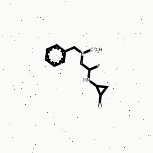 O=C(O)N(Cc1ccccc1)CC(F)NC1CC1Cl